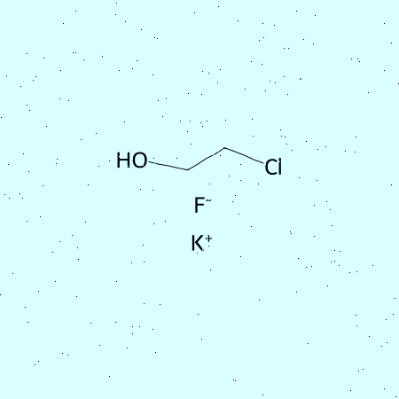 OCCCl.[F-].[K+]